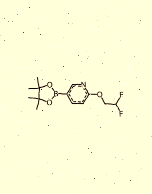 CC1(C)OB(c2ccc(OCC(F)F)nc2)OC1(C)C